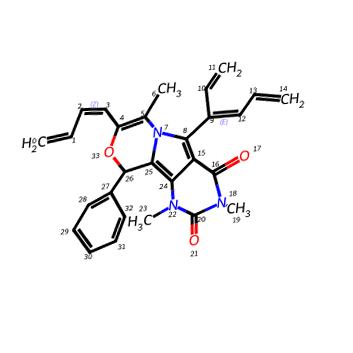 C=C/C=C\C1=C(C)n2c(/C(C=C)=C/C=C)c3c(=O)n(C)c(=O)n(C)c3c2C(c2ccccc2)O1